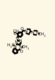 COc1cc(C(=O)N2CCC(N3CCN(C)CC3)CC2)ccc1Oc1ncc2c(n1)N(C)c1ccccc1C(=O)N2C